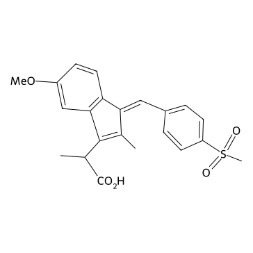 COc1ccc2c(c1)C(C(C)C(=O)O)=C(C)C2=Cc1ccc(S(C)(=O)=O)cc1